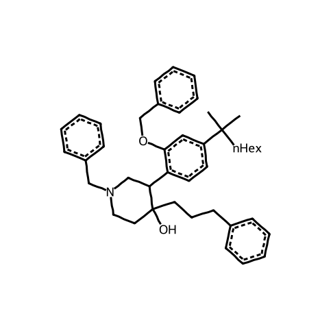 CCCCCCC(C)(C)c1ccc(C2CN(Cc3ccccc3)CCC2(O)CCCc2ccccc2)c(OCc2ccccc2)c1